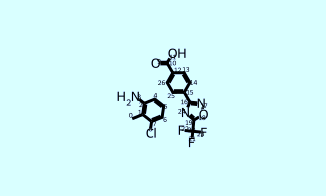 Cc1c(N)cccc1Cl.O=C(O)c1ccc(-c2noc(C(F)(F)F)n2)cc1